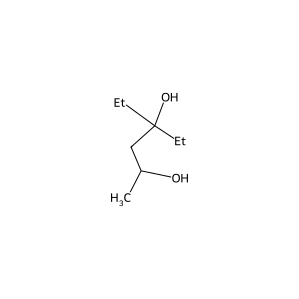 CCC(O)(CC)CC(C)O